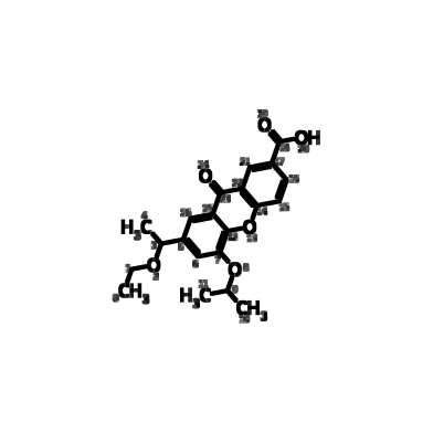 CCOC(C)c1cc(OC(C)C)c2oc3ccc(C(=O)O)cc3c(=O)c2c1